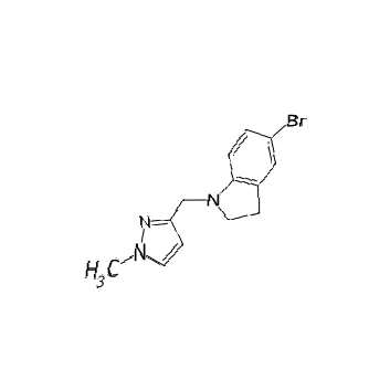 Cn1ccc(CN2CCc3cc(Br)ccc32)n1